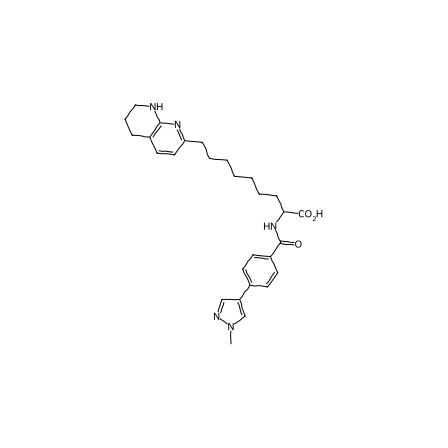 Cn1cc(-c2ccc(C(=O)NC(CCCCCCCc3ccc4c(n3)NCCC4)C(=O)O)cc2)cn1